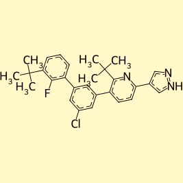 CC(C)(C)c1cccc(-c2cc(Cl)cc(-c3ccc(-c4cn[nH]c4)nc3C(C)(C)C)c2)c1F